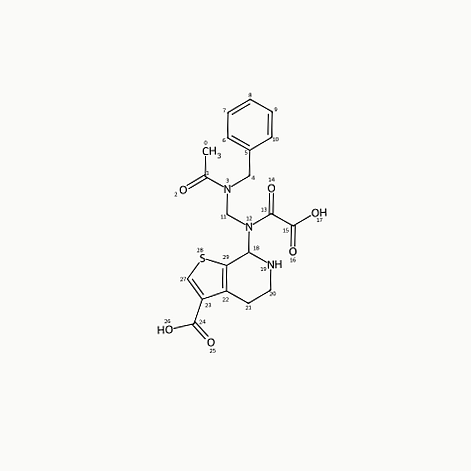 CC(=O)N(Cc1ccccc1)CN(C(=O)C(=O)O)C1NCCc2c(C(=O)O)csc21